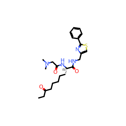 CCC(=O)CCCCC[C@H](NC(=O)CN(C)C)C(=O)NCc1csc(-c2ccccc2)n1